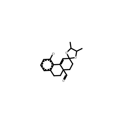 CC1OC2(C=C3c4c(Cl)cccc4CCC3(C=O)CC2)OC1C